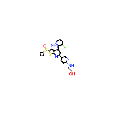 Nc1c([S+]([O-])C2CCC2)sc2nc(-c3ccc(NCCO)nc3)cc(-c3ncccc3F)c12